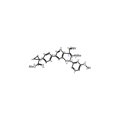 CN/C(Nc1cncc(OC(C)C)n1)=C(\C=N)c1ncc(-c2ccc(C3(C(=O)OC)CC3)cc2)cc1F